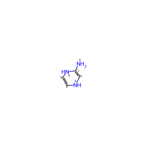 NC1=CNC=CN1